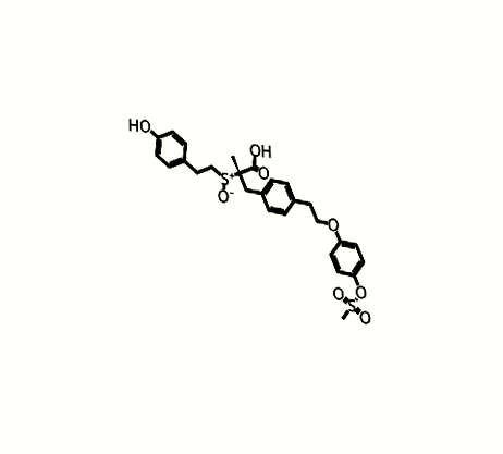 C[C@](Cc1ccc(CCOc2ccc(OS(C)(=O)=O)cc2)cc1)(C(=O)O)[S+]([O-])CCc1ccc(O)cc1